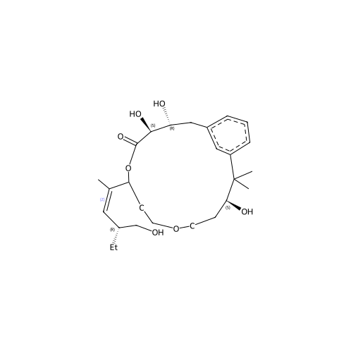 CC[C@H](/C=C(/C)C1CCOCC[C@H](O)C(C)(C)c2cccc(c2)C[C@@H](O)[C@H](O)C(=O)O1)CO